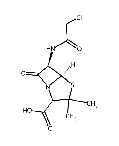 CC1(C)S[C@@H]2[C@H](NC(=O)CCl)C(=O)N2[C@H]1C(=O)O